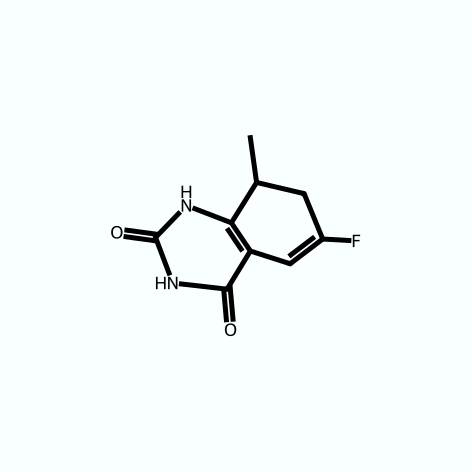 CC1CC(F)=Cc2c1[nH]c(=O)[nH]c2=O